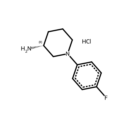 Cl.N[C@@H]1CCCN(c2ccc(F)cc2)C1